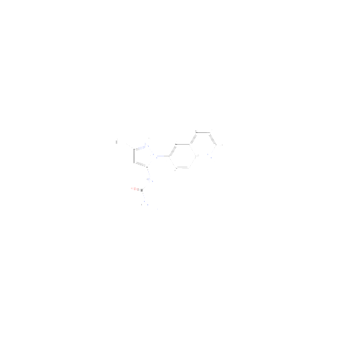 CC(C)c1cc(NC(N)=O)n(-c2ccc3ncccc3c2)n1